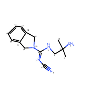 CC(C)(N)CN/C(=N\C#N)N1Cc2ccccc2C1